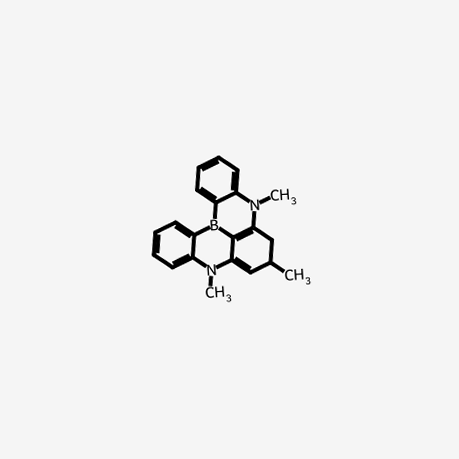 CC1C=C2C3=C(C1)N(C)c1ccccc1B3c1ccccc1N2C